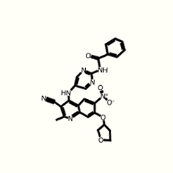 Cc1nc2cc(OC3CCOC3)c([N+](=O)[O-])cc2c(Nc2cnc(NC(=O)c3ccccc3)nc2)c1C#N